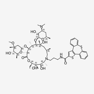 CO[C@]1(C)C[C@H](O[C@H]2[C@H](C)[C@@H](O[C@@H]3O[C@H](C)C[C@H](N(C)C)[C@H]3O)[C@](C)(O)C[C@@H](C)CN(CCCNC(=O)c3cc4c(s3)-c3ccccc3Sc3ccccc3-4)[C@H](C)[C@@H](O)[C@](C)(O)[C@@H](I)OC(=O)[C@@H]2C)O[C@@H](C)[C@@H]1O